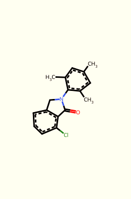 Cc1cc(C)c(N2Cc3cccc(Cl)c3C2=O)c(C)c1